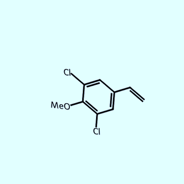 C=Cc1cc(Cl)c(OC)c(Cl)c1